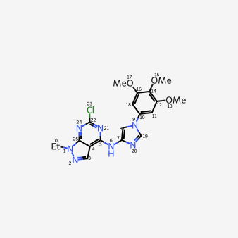 CCn1ncc2c(Nc3cn(-c4cc(OC)c(OC)c(OC)c4)cn3)nc(Cl)nc21